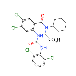 O=C(O)CN(C(=O)c1cc(Cl)c(Cl)cc1NC(=O)Nc1c(Cl)cccc1Cl)C1CCCCC1